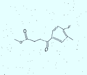 COC(=O)CCC(=O)c1ccc(F)c(C)c1